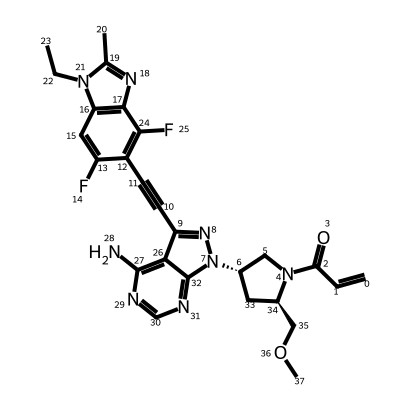 C=CC(=O)N1C[C@@H](n2nc(C#Cc3c(F)cc4c(nc(C)n4CC)c3F)c3c(N)ncnc32)C[C@@H]1COC